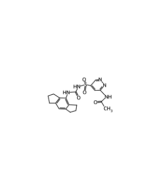 CC(=O)Nc1cc(S(=O)(=O)NC(=O)Nc2c3c(cc4c2CCC4)CCC3)cnn1